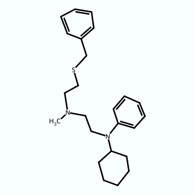 CN(CCSCc1ccccc1)CCN(c1ccccc1)C1CCCCC1